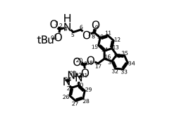 CC(C)(C)OC(=O)NCCOC(=O)c1ccc2c(c1)C(COC(=O)On1nnc3ccccc31)c1ccccc1-2